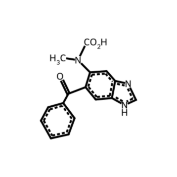 CN(C(=O)O)c1cc2nc[nH]c2cc1C(=O)c1ccccc1